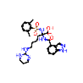 Cc1cccc(C)c1S(=O)(=O)NC(CCCCNC1N=CCCN1)(NC(=O)c1cccc2[nH]ncc12)C(=O)O